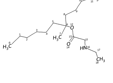 CCCCCCC(C)(CCCC)OC(=O)CNCC